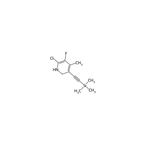 CC1=C(C#C[Si](C)(C)C)CNC(Cl)=C1F